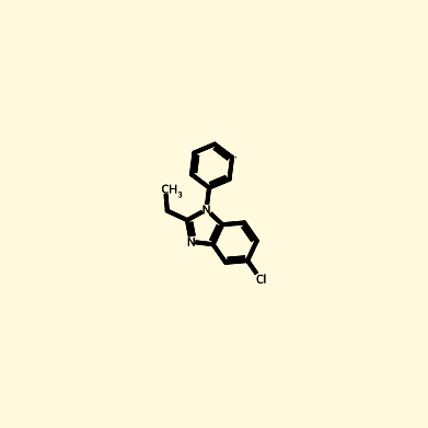 CCc1nc2cc(Cl)ccc2n1-c1c[c]ccc1